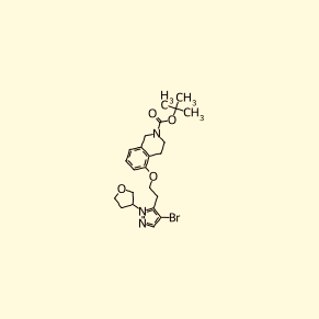 CC(C)(C)OC(=O)N1CCc2c(cccc2OCCc2c(Br)cnn2C2CCOC2)C1